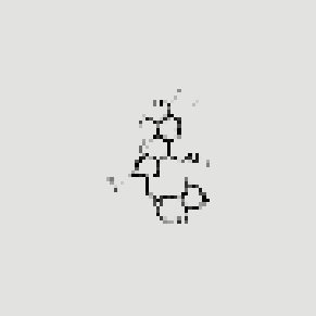 CCC(c1ccc(C)c(CN2CCOc3cccnc3C2)c1)c1ccc(NC)c(N)c1C